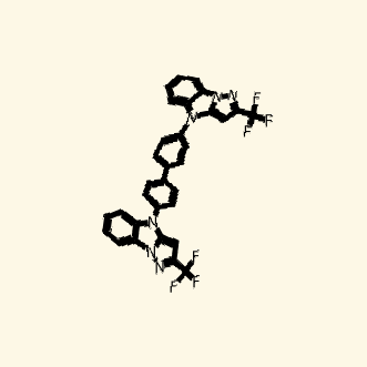 FC(F)(F)c1cc2n(-c3ccc(-c4ccc(-n5c6ccccc6n6nc(C(F)(F)F)cc56)cc4)cc3)c3ccccc3n2n1